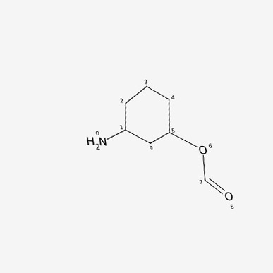 NC1CCCC(OC=O)C1